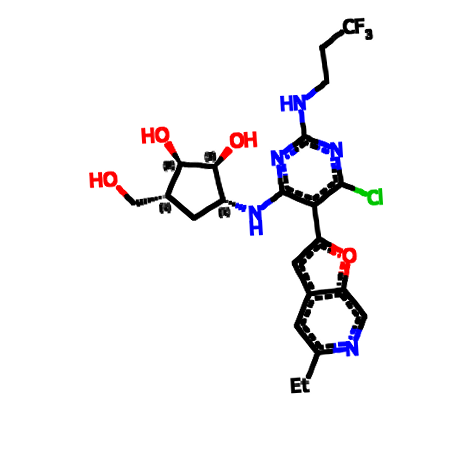 CCc1cc2cc(-c3c(Cl)nc(NCCC(F)(F)F)nc3N[C@@H]3C[C@H](CO)[C@@H](O)[C@H]3O)oc2cn1